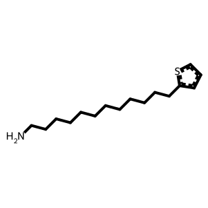 NCCCCCCCCCCCCc1cccs1